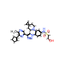 Cc1ncc(-c2cn(-c3ccc(NS(=O)(=O)CCO)cc3N3CCC4(CC3)CC4)nn2)nc1C1=CCCC1